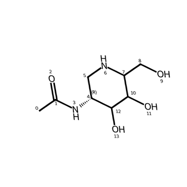 CC(=O)N[C@@H]1CNC(CO)C(O)C1O